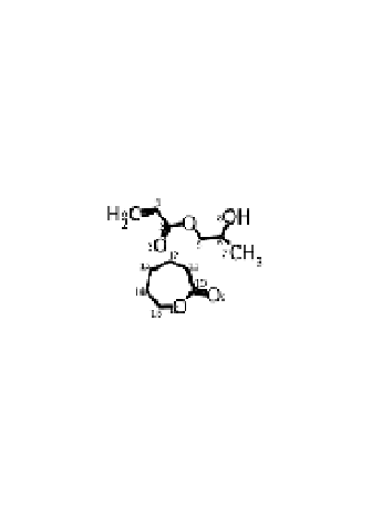 C=CC(=O)OCC(C)O.O=C1CCCCCO1